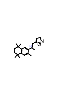 C/C(=C\c1ccno1)c1cc2c(cc1C)C(C)(C)CCC2(C)C